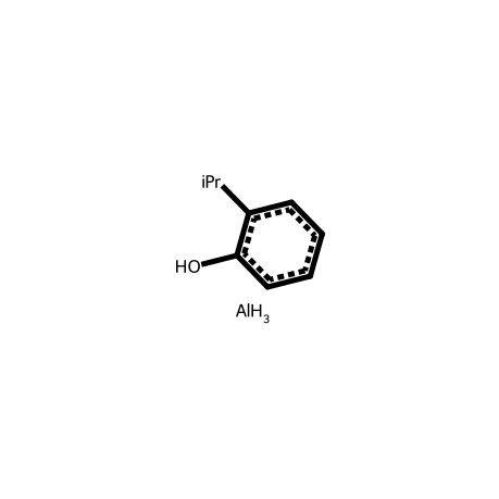 CC(C)c1ccccc1O.[AlH3]